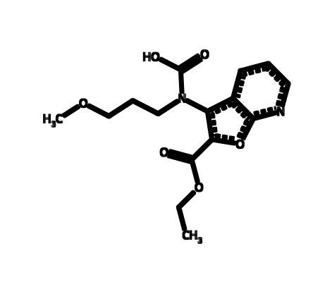 CCOC(=O)c1oc2ncccc2c1N(CCCOC)C(=O)O